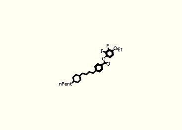 CCCCCC1CCC(CCCCc2ccc(C(=O)Oc3ccc(OCC)c(F)c3F)cc2)CC1